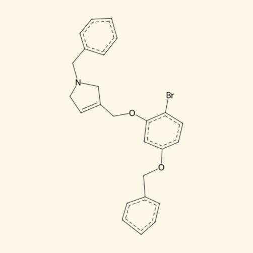 Brc1ccc(OCc2ccccc2)cc1OCC1=CCN(Cc2ccccc2)C1